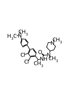 CC(NC(=O)N(C)C1CCN(C)CC1)c1ccc(-c2ccc(N(C)C)cc2)c(Cl)c1Cl